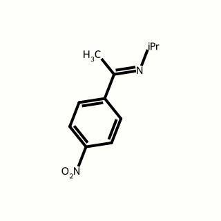 C/C(=N\C(C)C)c1ccc([N+](=O)[O-])cc1